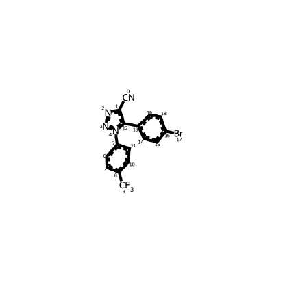 N#Cc1nnn(-c2ccc(C(F)(F)F)cc2)c1-c1ccc(Br)cc1